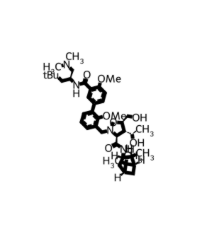 COc1ccc(-c2cccc(CN3O[C@@H](CO)[C@H]([C@H](C)O)[C@H]3C(=O)N[C@H]3C[C@H]4C[C@@H]([C@@H]3C)C4(C)C)c2OC)cc1C(=O)N[C@H](CN(C)C)CC(C)(C)C